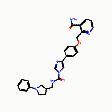 NC(=O)c1cccnc1COc1ccc(-c2cn(C(=O)NCC3CCN(c4ccccc4)C3)cn2)cc1